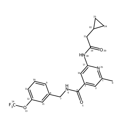 Cc1cc(C(=O)NCc2cccc(OC(F)(F)F)c2)cc(NC(=O)CC2CC2)n1